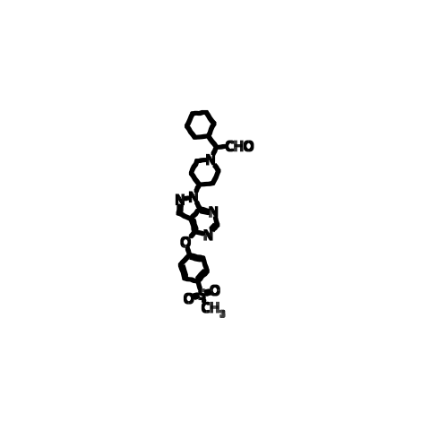 CS(=O)(=O)c1ccc(Oc2ncnc3c2cnn3C2CCN(C(C=O)C3CCCCC3)CC2)cc1